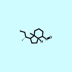 C[C@H](CI)C1CC[C@H]2C(N=O)CCCC12C